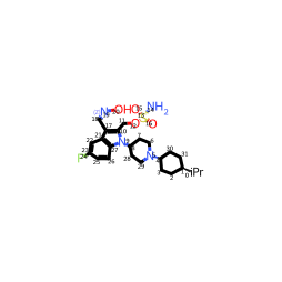 CC(C)[C@H]1CC[C@@H](N2CCC(n3c(COS(N)(=O)=O)c(/C=N\O)c4cc(F)ccc43)CC2)CC1